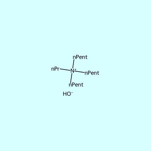 CCCCC[N+](CCC)(CCCCC)CCCCC.[OH-]